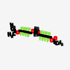 C=CC(=C)OCC(F)(F)C(F)(F)C(F)(F)C(F)(F)CO[Si](CC)(CC)OCC(F)(F)C(F)(F)C(F)(F)C(F)(F)COC(=O)C=C